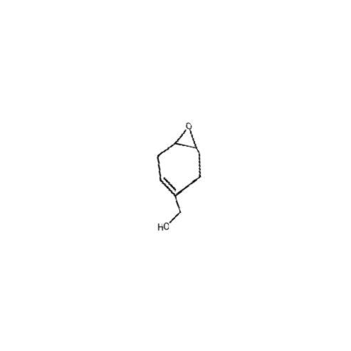 OCC1=CCC2OC2C1